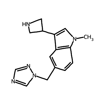 Cn1cc(C2CNC2)c2cc(Cn3cncn3)ccc21